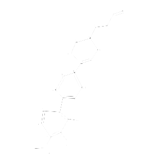 C=CCCC1CC=C(c2ccc(-c3ccc(OCC)c(Cl)c3F)cc2)CC1